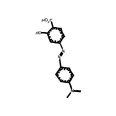 CN(C)c1ccc(N=Nc2ccc(C(=O)O)c(O)c2)cc1